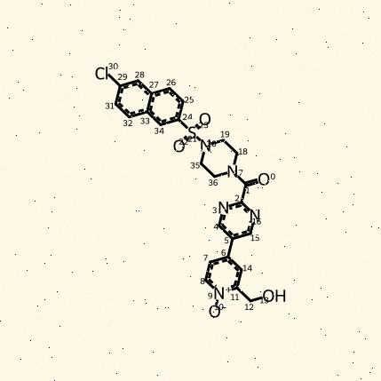 O=C(c1ncc(-c2cc[n+]([O-])c(CO)c2)cn1)N1CCN(S(=O)(=O)c2ccc3cc(Cl)ccc3c2)CC1